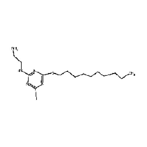 CCCCCCCCCCSc1nc(I)nc(NCCN)n1